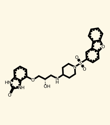 O=c1[nH]c2cccc(OC[C@@H](O)CNC3CCN(S(=O)(=O)c4ccc5oc6ccccc6c5c4)CC3)c2[nH]1